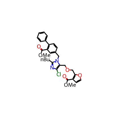 CCCCc1nc(Cl)c(COCc2occc2C(=O)OC)n1Cc1ccc(-c2ccccc2)c(C(=O)OC)c1